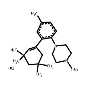 CCCCN1CCN(c2ccc(C)cc2C2=CC(C)(C)CC(C)(C)C2)CC1.Cl